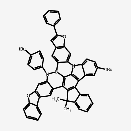 CC(C)(C)c1ccc(N2B3c4cc5cc(-c6ccccc6)oc5cc4-n4c5ccc(C(C)(C)C)cc5c5c6c(c(c3c54)-c3cc4c(cc32)oc2ccccc24)C(C)(C)c2ccccc2-6)cc1